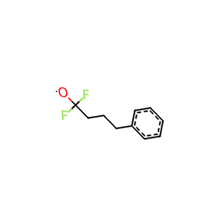 [O]C(F)(F)CCCc1ccccc1